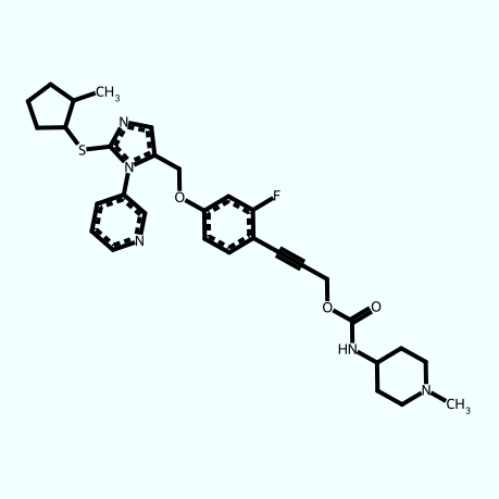 CC1CCCC1Sc1ncc(COc2ccc(C#CCOC(=O)NC3CCN(C)CC3)c(F)c2)n1-c1cccnc1